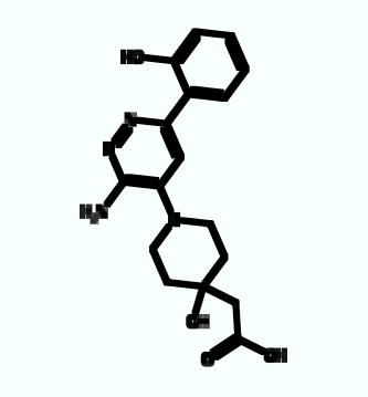 Nc1nnc(-c2ccccc2O)cc1N1CCC(O)(CC(=O)O)CC1